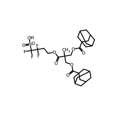 CC(COC(=O)C12CC3CC(CC(C3)C1)C2)(COC(=O)C12CC3CC(CC(C3)C1)C2)C(=O)OCCC(F)(F)C(F)(F)S(=O)(=O)O